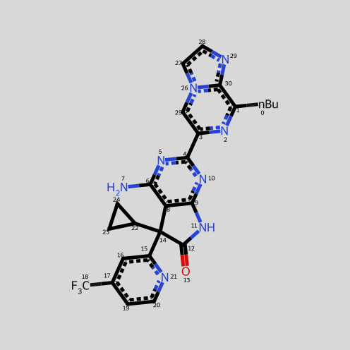 CCCCc1nc(-c2nc(N)c3c(n2)NC(=O)C3(c2cc(C(F)(F)F)ccn2)C2CC2)cn2ccnc12